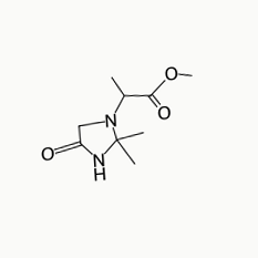 COC(=O)C(C)N1CC(=O)NC1(C)C